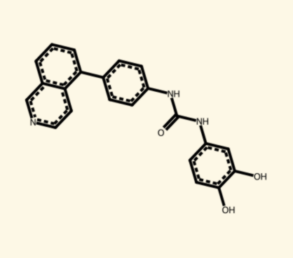 O=C(Nc1ccc(-c2cccc3cnccc23)cc1)Nc1ccc(O)c(O)c1